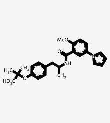 COc1ccc(-n2cccc2)cc1C(=O)NC(C)Cc1ccc(OC(C)(C)C(=O)O)cc1